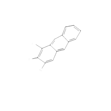 O=[N+]([O-])c1cc2cc3ccccc3cc2c(O)c1O